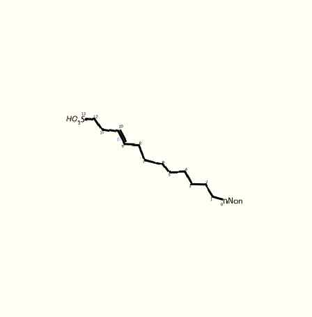 CCCCCCCCCCCCCCCCC/C=C/CCS(=O)(=O)O